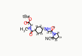 CN(CC(=O)OC(C)(C)C)C(=O)[C@H]1CC[C@H](NCC(=O)N2CCC[C@H]2C#N)CC1